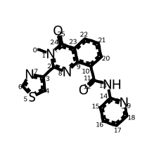 Cn1c(-c2cscn2)nc2c(C(=O)Nc3ccccn3)cccc2c1=O